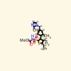 COC(=O)NS(=O)(=O)c1sc(CC(C)C)c(C)c1-c1ccc(Cn2ccnc2C)cc1C